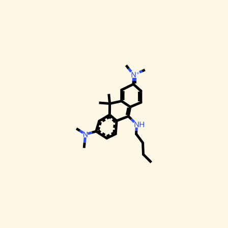 CCCCNC1=C2C=CC(=[N+](C)C)C=C2C(C)(C)c2cc(N(C)C)ccc21